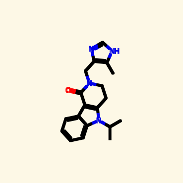 Cc1[nH]cnc1CN1CCc2c(c3ccccc3n2C(C)C)C1=O